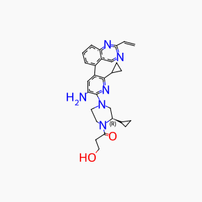 C=Cc1ncc2c(-c3cc(N)c(N4CCN(C(=O)CCO)[C@H](C5CC5)C4)nc3C3CC3)cccc2n1